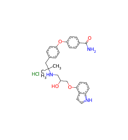 CC(C)(Cc1ccc(Oc2ccc(C(N)=O)cc2)cc1)NCC(O)COc1cccc2[nH]ccc12.Cl